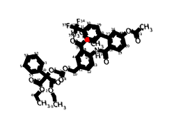 CCOC(=O)C(OC(=O)OCc1ccc(NC(=O)c2ccc(OC(C)=O)cc2-c2ccc(C(F)(F)F)cc2)c(C(=O)N(C)C)c1)(C(=O)OCC)c1ccccc1